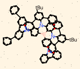 CC(C)c1cc2c3c(c1)N(c1c(-c4ccccc4)cc(C(C)(C)C)cc1-c1ccccc1)c1cc(-n4c5ccc(-c6ccccc6)cc5c5cc(-c6ccccc6)ccc54)ccc1B3c1ccc(-n3c4ccccc4c4ccccc43)cc1N2c1c(-c2ccccc2)cc(C(C)(C)C)cc1-c1ccccc1